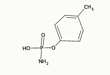 Cc1ccc(OP(N)(=O)O)cc1